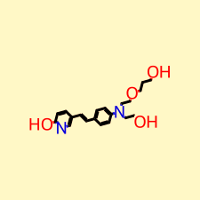 OCCCOCCN(CCO)c1ccc(/C=C/c2ccc(O)nc2)cc1